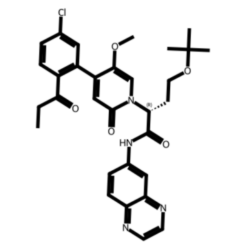 CCC(=O)c1ccc(Cl)cc1-c1cc(=O)n([C@H](CCOC(C)(C)C)C(=O)Nc2ccc3nccnc3c2)cc1OC